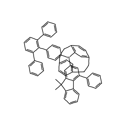 CC1(C)c2ccccc2-c2c(-c3ccccc3)cc(N(c3ccc(-c4c(-c5ccccc5)cccc4-c4ccccc4)cc3)c3cc4ccc3CCc3ccc(cc3)CC4)cc21